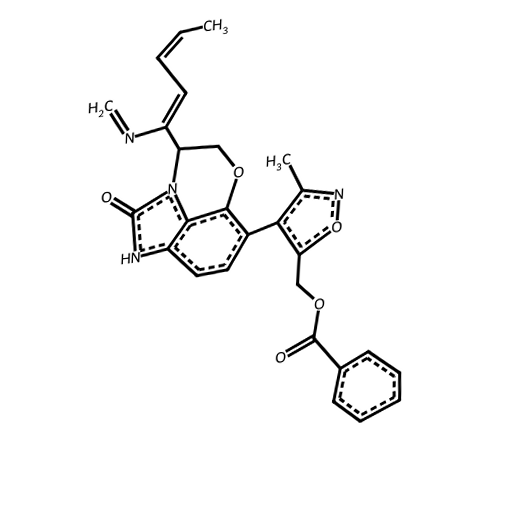 C=N/C(=C\C=C/C)C1COc2c(-c3c(C)noc3COC(=O)c3ccccc3)ccc3[nH]c(=O)n1c23